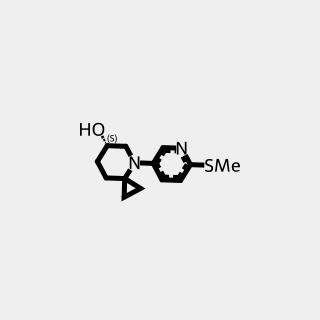 CSc1ccc(N2C[C@@H](O)CCC23CC3)cn1